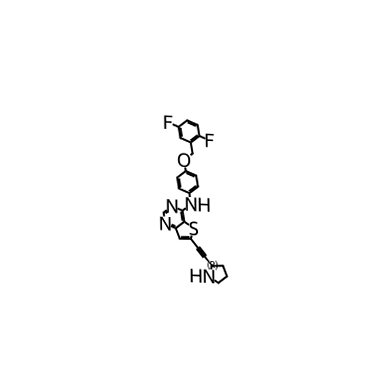 Fc1ccc(F)c(COc2ccc(Nc3ncnc4cc(C#C[C@H]5CCCN5)sc34)cc2)c1